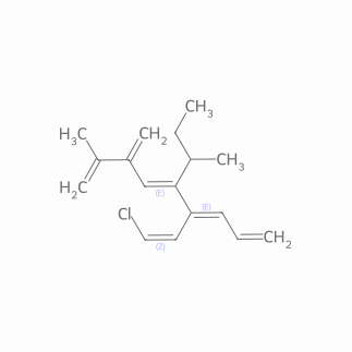 C=C/C=C(\C=C/Cl)C(=C/C(=C)C(=C)C)/C(C)CC